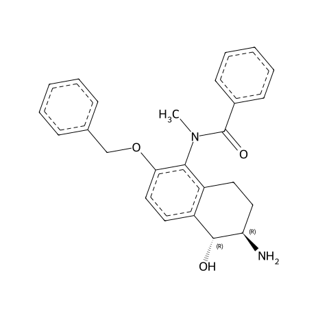 CN(C(=O)c1ccccc1)c1c(OCc2ccccc2)ccc2c1CC[C@@H](N)[C@@H]2O